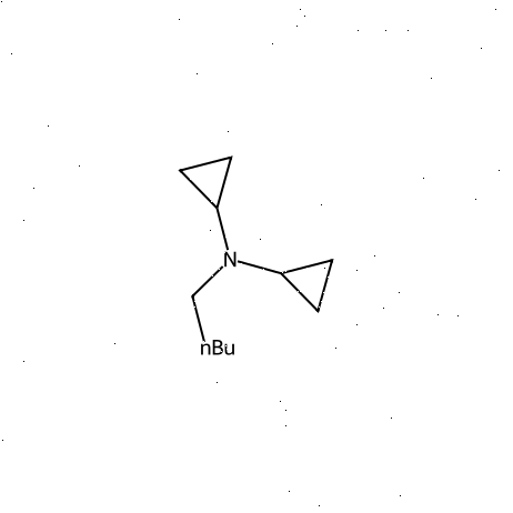 [CH2]CCCCN(C1CC1)C1CC1